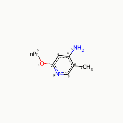 CCCOc1cc(N)c(C)cn1